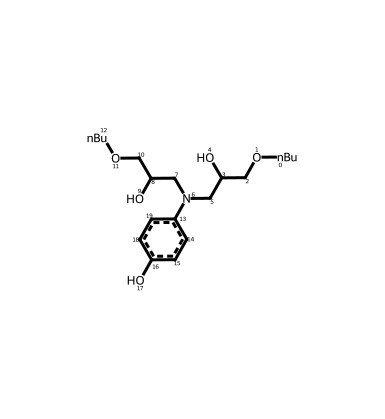 CCCCOCC(O)CN(CC(O)COCCCC)c1ccc(O)cc1